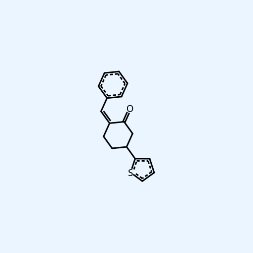 O=C1CC(c2cccs2)CCC1=Cc1ccccc1